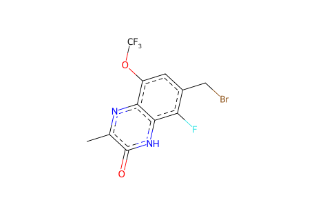 Cc1nc2c(OC(F)(F)F)cc(CBr)c(F)c2[nH]c1=O